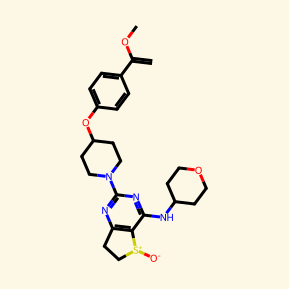 C=C(OC)c1ccc(OC2CCN(c3nc4c(c(NC5CCOCC5)n3)[S+]([O-])CC4)CC2)cc1